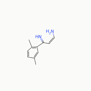 Cc1ccc(C)c(C(=N)/C=C\N)c1